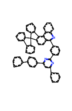 c1ccc(-c2ccc(-c3cc(-c4ccccc4)nc(-c4cccc(-c5nc6ccccc6c6c7c(ccc56)C5(c6ccccc6-c6ccccc65)c5ccccc5-7)c4)n3)cc2)cc1